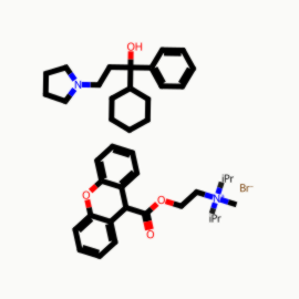 CC(C)[N+](C)(CCOC(=O)C1c2ccccc2Oc2ccccc21)C(C)C.OC(CCN1CCCC1)(c1ccccc1)C1CCCCC1.[Br-]